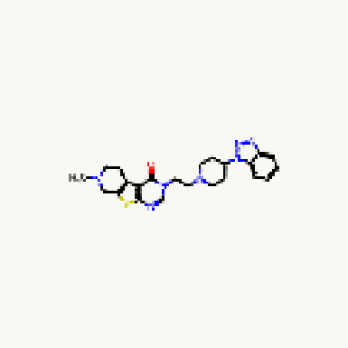 CN1CCc2c(sc3ncn(CCN4CCC(n5nnc6ccccc65)CC4)c(=O)c23)C1